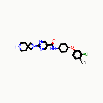 N#Cc1ccc(O[C@H]2CC[C@H](NC(=O)c3cnc(N4CC5(CCNCC5)C4)nc3)CC2)cc1Cl